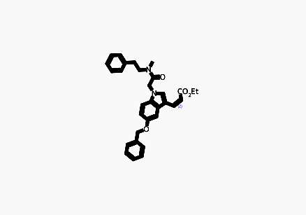 CCOC(=O)/C=C\c1cn(CC(=O)N(C)CCc2ccccc2)c2ccc(OCc3ccccc3)cc12